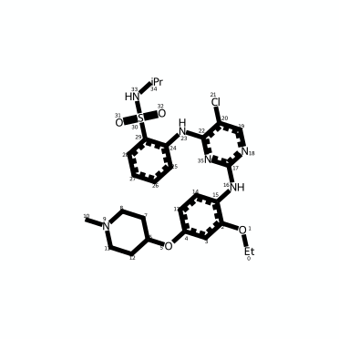 CCOc1cc(OC2CCN(C)CC2)ccc1Nc1ncc(Cl)c(Nc2ccccc2S(=O)(=O)NC(C)C)n1